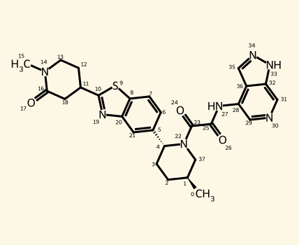 C[C@H]1CC[C@H](c2ccc3sc(C4CCN(C)C(=O)C4)nc3c2)N(C(=O)C(=O)Nc2cncc3[nH]ncc23)C1